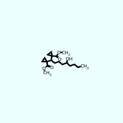 CCCCC(O)CCCC(C1(C(=O)OC)CC1)C1(C(=O)OC)CC1